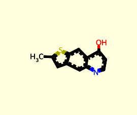 Cc1cc2cc3nccc(O)c3cc2s1